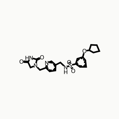 O=C1CN(Cc2ccc(CNS(=O)(=O)c3cccc(OC4CCCC4)c3)cn2)C(=O)N1